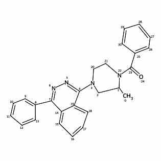 CC1CN(c2nnc(-c3ccccc3)c3ccccc23)CCN1C(=O)c1ccccc1